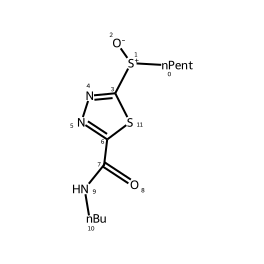 CCCCC[S+]([O-])c1nnc(C(=O)NCCCC)s1